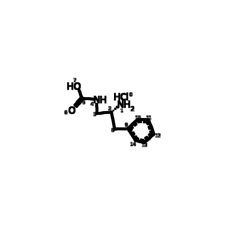 Cl.N[C@@H](CNC(=O)O)Cc1ccccc1